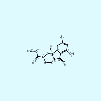 CCc1cc(O)c2c(c1)[C@@H]1CN(C(=O)OC(C)(C)C)CCN1C2=O